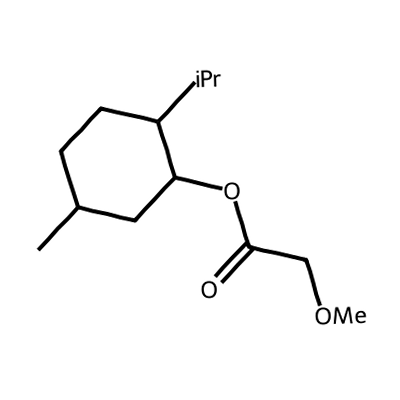 COCC(=O)OC1CC(C)CCC1C(C)C